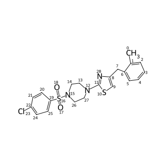 Cc1ccccc1Cc1csc(N2CCN(S(=O)(=O)c3ccc(Cl)cc3)CC2)n1